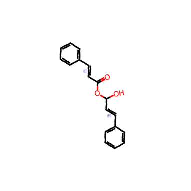 O=C(/C=C/c1ccccc1)OC(O)/C=C/c1ccccc1